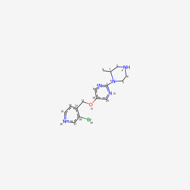 CC1CNCCN1c1ncc(OCc2ccncc2Br)cn1